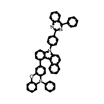 c1ccc(-c2nc(-c3ccc(-n4c5cccc(-c6ccc7c(c6)Oc6ccccc6N7c6ccccc6)c5c5c6ccccc6ccc54)cc3)nc3ccccc23)cc1